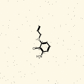 C=CCOc1cccc(N)c1Cl